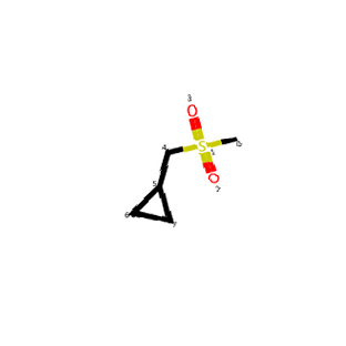 CS(=O)(=O)CC1[CH]C1